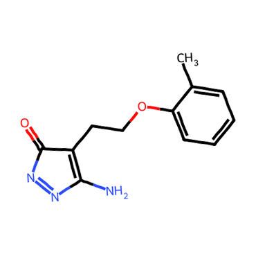 Cc1ccccc1OCCC1=C(N)N=NC1=O